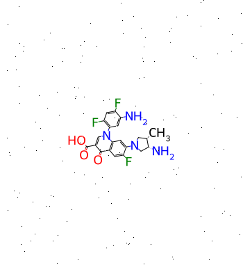 C[C@H]1CN(c2cc3c(cc2F)c(=O)c(C(=O)O)cn3-c2cc(N)c(F)cc2F)C[C@H]1N